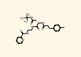 CC(C)(C)NC(=O)C[C@H](NC(=O)CCc1ccc(F)cc1)C(=O)NCCNC(=O)c1ccccn1